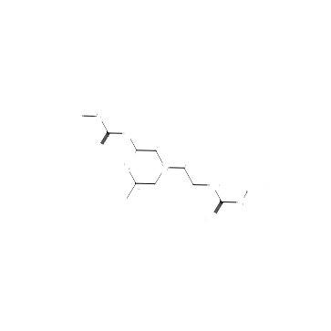 CCCCNC(=O)OCCN(CCOC(=O)NCCCC)CC(C)N